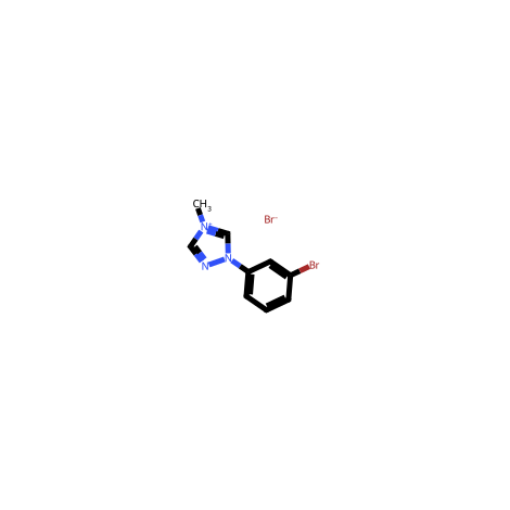 C[n+]1cnn(-c2cccc(Br)c2)c1.[Br-]